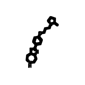 CC1CCCN1CCCOc1ccc(C2=NC3CCNCCC3S2)cc1